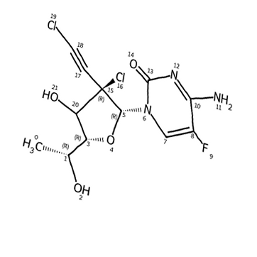 C[C@@H](O)[C@H]1O[C@@H](n2cc(F)c(N)nc2=O)[C@@](Cl)(C#CCl)C1O